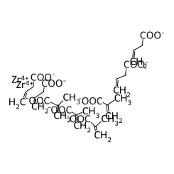 C=C(C)C(=O)[O-].C=C(C)C(=O)[O-].C=C(C)C(=O)[O-].C=C(C)C(=O)[O-].C=CCC(=O)[O-].C=CCC(=O)[O-].C=CCC(=O)[O-].C=CCC(=O)[O-].[Zr+4].[Zr+4]